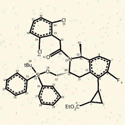 CCOC(=O)C1CC1c1c(F)ccc2c1C[C@H](CO[Si](c1ccccc1)(c1ccccc1)C(C)(C)C)N(C(=O)Cc1c(Cl)cccc1Cl)[C@H]2C